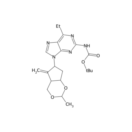 C=C1C2COC(C)OC2CC1n1cnc2c(CC)nc(NC(=O)OC(C)(C)C)nc21